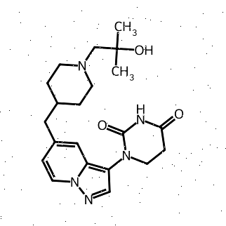 CC(C)(O)CN1CCC(Cc2ccn3ncc(N4CCC(=O)NC4=O)c3c2)CC1